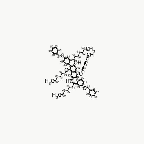 C#CC#CC#COc1c(-c2ccc(OCc3ccccc3)cc2C(O)CCCCCC)ccc2c(OCCCCCC)c(-c3ccc(OCc4ccccc4)cc3C(O)CCCCCC)ccc12